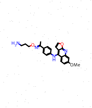 COc1ccc2c(Nc3ccc(/C(C)=N/OCCCN)cc3)c3ccoc3nc2c1